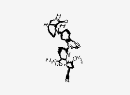 Cc1cc(C#N)nn1-c1nc(-n2cnc3ccc(N4CC[C@H]5CNC(=O)[C@H]54)cc32)ccc1C(C)O